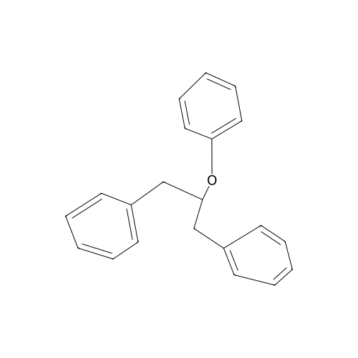 c1ccc(CC(Cc2ccccc2)Oc2ccccc2)cc1